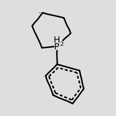 [CH]1CC[PH2](c2ccccc2)CC1